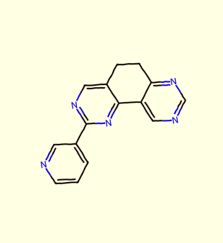 c1cncc(-c2ncc3c(n2)-c2cncnc2CC3)c1